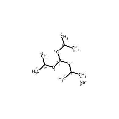 CC(C)O[BH-](OC(C)C)OC(C)C.[Na+]